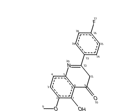 COc1ccc2c(c1O)C(=O)CC(c1ccc(F)cc1)=N2